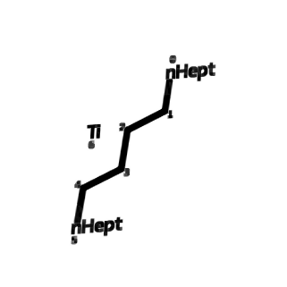 [CH2]CCCCCCCCCCCCCCCCC.[Ti]